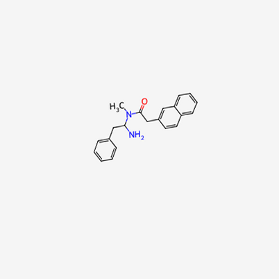 CN(C(=O)Cc1ccc2ccccc2c1)C(N)Cc1ccccc1